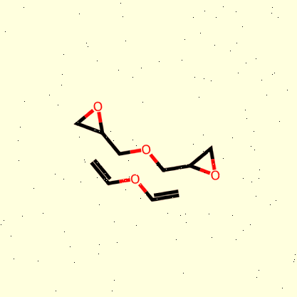 C(OCC1CO1)C1CO1.C=COC=C